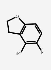 CC(C)c1c(F)ccc2c1CCO2